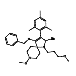 COCCCN1C(O)C(c2c(C)cc(C)cc2C)=C(OCc2ccccc2)C12CCN(OC)CC2